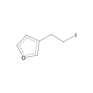 ICCc1ccoc1